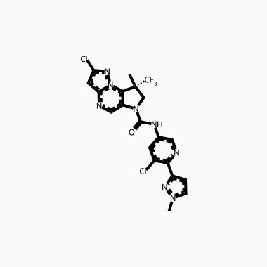 Cn1ccc(-c2ncc(NC(=O)N3C[C@@](C)(C(F)(F)F)c4c3cnc3cc(Cl)nn43)cc2Cl)n1